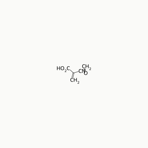 C=C(C#N)C(=O)O.C=O